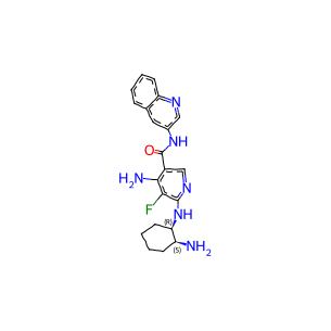 Nc1c(C(=O)Nc2cnc3ccccc3c2)cnc(N[C@@H]2CCCC[C@@H]2N)c1F